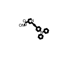 O=NOC(=O)c1ccnc(C#Cc2ccc(N(c3ccccc3)c3ccccc3)cc2)c1